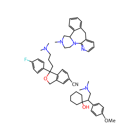 CN(C)CCCC1(c2ccc(F)cc2)OCc2cc(C#N)ccc21.CN1CCN2c3ncccc3Cc3ccccc3C2C1.COc1ccc(C(CN(C)C)C2(O)CCCCC2)cc1